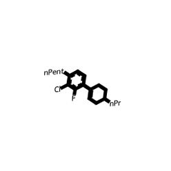 CCCCCc1ccc(C2=CCC(CCC)CC2)c(F)c1Cl